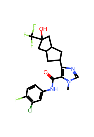 Cn1cnc(C2CC3CC(O)(C(F)(F)F)CC3C2)c1C(=O)Nc1ccc(F)c(Cl)c1